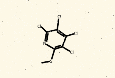 CSc1nc(Cl)c(Cl)c(Cl)c1Cl